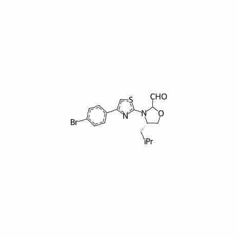 CC(C)C[C@H]1COC(C=O)N1c1nc(-c2ccc(Br)cc2)cs1